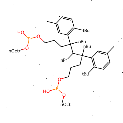 CCCCCCCCOP(O)OCCCC(CCCC)(c1cc(C)ccc1C(C)(C)C)C(CCC)C(CCCC)(CCCOP(O)OCCCCCCCC)c1cc(C)ccc1C(C)(C)C